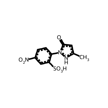 Cc1cc(=O)n(-c2ccc([N+](=O)[O-])cc2S(=O)(=O)O)[nH]1